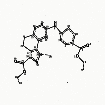 CCOC(=O)c1ccc(Nc2ncc3c(n2)-c2c(c(C(=O)OCC)nn2C)CC3)cc1